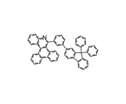 c1ccc(C2(c3ccccc3)c3ccccc3-c3ccc(-c4cccc(-c5nc6ccccc6c6c7ccccc7c7ccccc7c56)c4)cc32)cc1